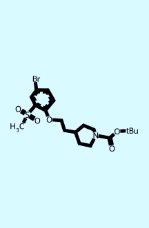 CC(C)(C)OC(=O)N1CCC(CCOc2ccc(Br)cc2S(C)(=O)=O)CC1